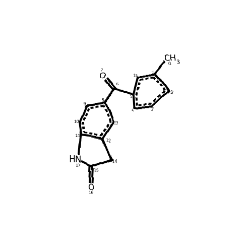 Cc1cccc(C(=O)c2ccc3c(c2)CC(=O)N3)c1